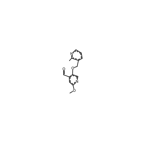 COc1cc(C=O)c(OCc2cccnc2C)cn1